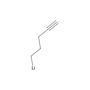 [Li][CH2]CCC#[C]